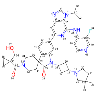 CC(C)n1cnc2cc(-c3ccc4c(c3)N([C@H]3C[C@@H](N5CCC(C)(C)C5)C3)C(=O)C43CCN(C(=O)C4(CO)CC4)CC3)nc(Nc3ccncc3F)c21